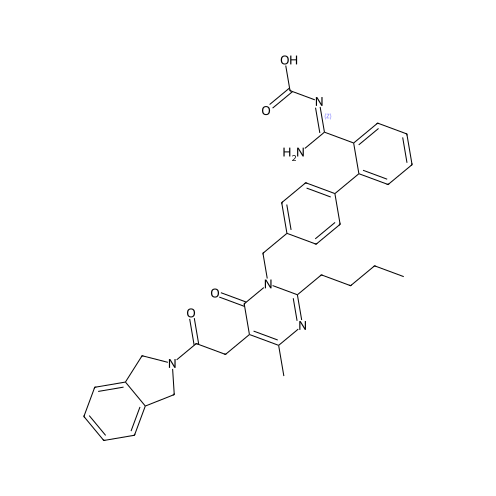 CCCCc1nc(C)c(CC(=O)N2Cc3ccccc3C2)c(=O)n1Cc1ccc(-c2ccccc2/C(N)=N/C(=O)O)cc1